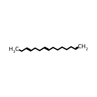 C=CCCCCCC=CCCC=CCC